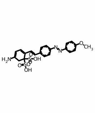 COc1ccc(N=Nc2ccc(C=CC3=CC=C(N)CC3(S(=O)(=O)O)S(=O)(=O)O)cc2)cc1